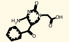 Nc1nc(=O)n(CC(=O)O)cc1C(=O)c1ccccc1